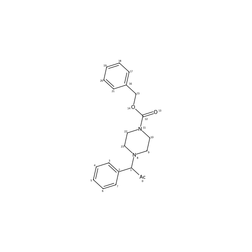 CC(=O)C(c1ccccc1)N1CCN(C(=O)OCc2ccccc2)CC1